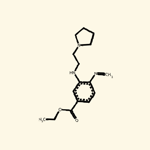 C=Nc1ccc(C(=O)OCC)cc1NCCN1CCCC1